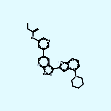 C=C(CC)Nc1cncc(-c2cnc3[nH]nc(-c4cc5c(N6CCCCC6)cccc5[nH]4)c3c2)c1